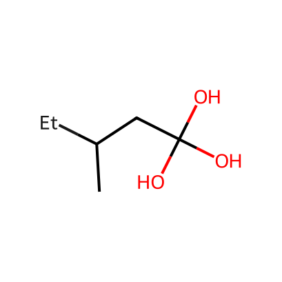 CCC(C)CC(O)(O)O